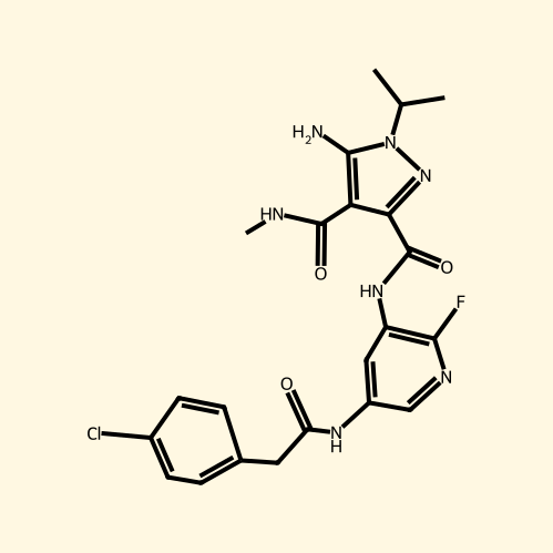 CNC(=O)c1c(C(=O)Nc2cc(NC(=O)Cc3ccc(Cl)cc3)cnc2F)nn(C(C)C)c1N